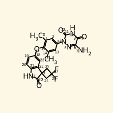 Cc1cc(-n2nc(N)c(=O)[nH]c2=O)cc(C)c1Oc1ccc2c(c1)C1(CC(F)(F)C1)C(=O)N2